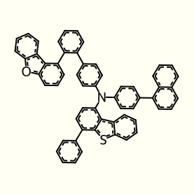 c1ccc(-c2ccc(N(c3ccc(-c4ccccc4-c4cccc5oc6ccccc6c45)cc3)c3ccc(-c4cccc5ccccc45)cc3)c3c2sc2ccccc23)cc1